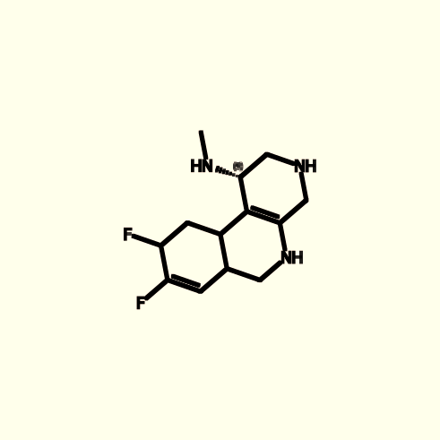 CN[C@@H]1CNCC2=C1C1CC(F)C(F)=CC1CN2